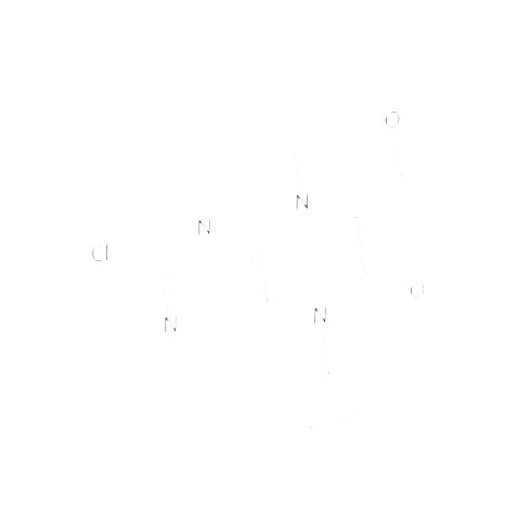 CC12COCCN1c1nc(Cl)ncc1N(C1CC1)C2=O